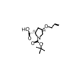 C=CCO[C@@H]1C[C@@H](C(=O)O)N(C(=O)OC(C)(C)C)C1